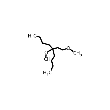 CCCCC(CCCC)(CCOC)OC